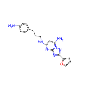 Nc1ccc(CCCNc2cc(N)n3nc(-c4ccco4)nc3n2)cc1